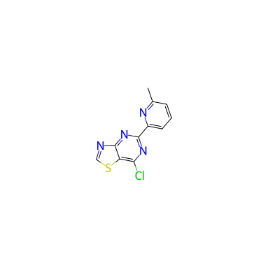 Cc1cccc(-c2nc(Cl)c3scnc3n2)n1